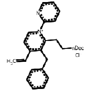 C=Cc1cc[n+](-c2ccccn2)c(CCCCCCCCCCCC)c1Cc1ccccc1.[Cl-]